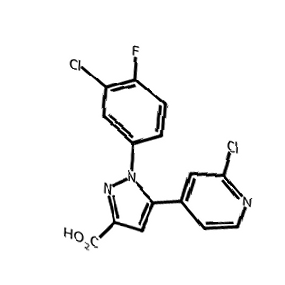 O=C(O)c1cc(-c2ccnc(Cl)c2)n(-c2ccc(F)c(Cl)c2)n1